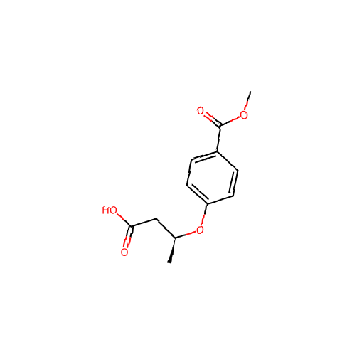 COC(=O)c1ccc(O[C@@H](C)CC(=O)O)cc1